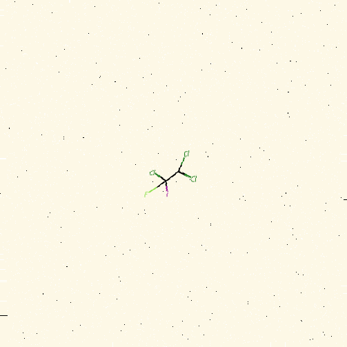 FC(Cl)(I)C(Cl)Cl